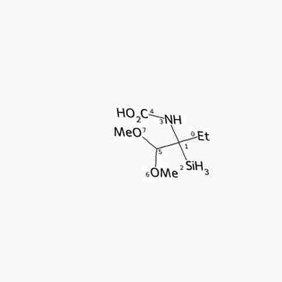 [CH2]CC([SiH3])(NC(=O)O)C(OC)OC